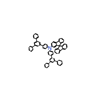 c1ccc(-c2cc(-c3ccccc3)cc(-c3ccc(N(c4ccc(-c5cc(-c6ccccc6)cc(-c6ccccc6)c5)cc4)c4ccc5c(c4)C4(c6ccccc6-c6ccccc64)c4ccccc4-5)cc3)c2)cc1